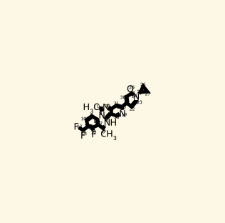 Cc1nc(N[C@H](C)c2cccc(C(F)F)c2F)c2cnc(-c3ccn(C4CC4)c(=O)c3)cc2n1